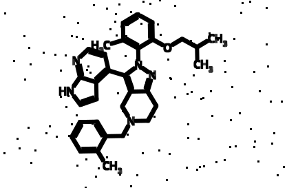 Cc1ccccc1CN1CCc2nn(-c3c(C)cccc3OCC(C)C)c(-c3ccnc4[nH]ccc34)c2C1